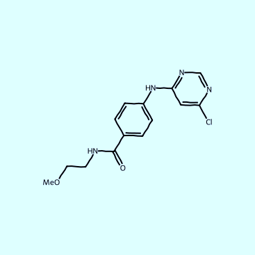 COCCNC(=O)c1ccc(Nc2cc(Cl)ncn2)cc1